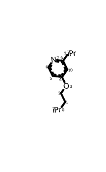 CC(C)CCOc1ccnc(C(C)C)c1